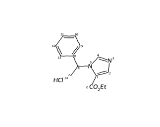 CCOC(=O)c1cncn1C(C)c1ccccc1.Cl